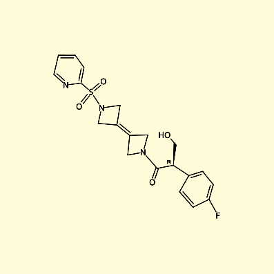 O=C([C@@H](CO)c1ccc(F)cc1)N1CC(=C2CN(S(=O)(=O)c3ccccn3)C2)C1